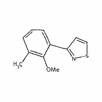 COc1c(C)cccc1-c1ccsn1